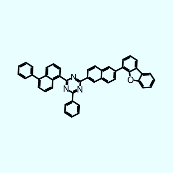 c1ccc(-c2nc(-c3ccc4cc(-c5cccc6c5oc5ccccc56)ccc4c3)nc(-c3cccc4c(-c5ccccc5)cccc34)n2)cc1